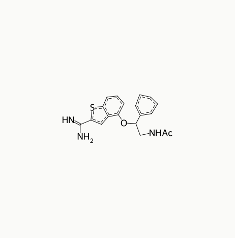 CC(=O)NCC(Oc1cccc2sc(C(=N)N)cc12)c1ccccc1